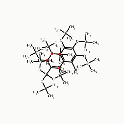 C[Si](C)(C)Oc1c([SiH3])c(C([SiH3])=C([SiH](O[Si](C)(C)C)O[Si](C)(C)C)[Si](O[Si](C)(C)C)(O[Si](C)(C)C)O[Si](C)(C)C)c(O[Si](C)(C)C)c(O[Si](C)(C)C)c1O[Si](C)(C)C